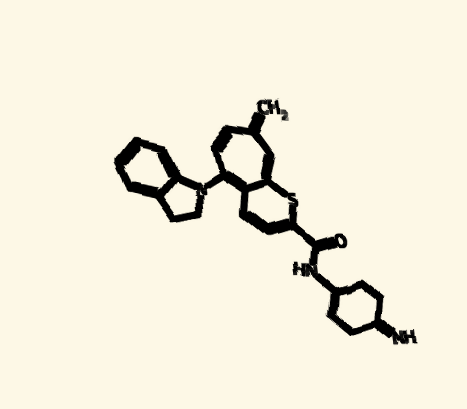 C=C1C=CC(N2CCc3ccccc32)=C2C=C=C(C(=O)NC3CCC(=N)CC3)SC2=C1